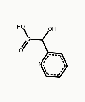 O=S(O)C(O)c1ccccn1